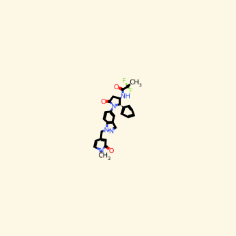 Cn1ccc(Cn2ncc3cc(N4C(=O)C[C@@H](NC(=O)C(C)(F)F)[C@@H]4c4ccccc4)ccc32)cc1=O